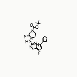 CC(C)(C)OC(=O)N1CC[C@@H](Nc2ncc3c(F)cc(C4=CCCC4)n3n2)[C@H](F)C1